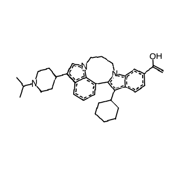 C=C(O)c1ccc2c(C3CCCCC3)c3n(c2c1)CCCn1cc(C2CCN(C(C)C)CC2)c2cccc-3c21